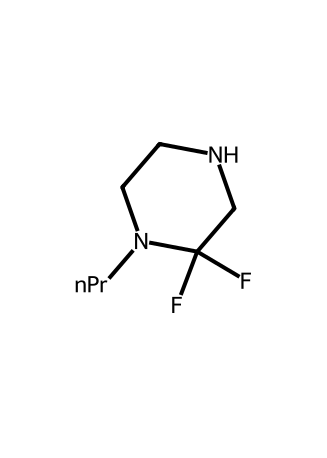 CCCN1CCNCC1(F)F